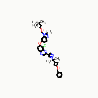 Cc1nc2ccc(Oc3ccc4ncc(-c5cnn(C(C)(C)C6CC(OCc7ccccc7)C6)c5)nc4c3Cl)cc2n1COCC[Si](C)(C)C